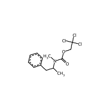 CC(Cc1ccccc1)N(C)C(=O)OCC(Cl)(Cl)Cl